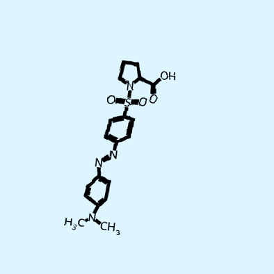 CN(C)c1ccc(N=Nc2ccc(S(=O)(=O)N3CCCC3C(=O)O)cc2)cc1